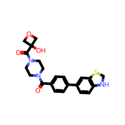 O=C(c1ccc(-c2ccc3c(c2)SCN3)cc1)N1CCN(C(=O)C2(O)COC2)CC1